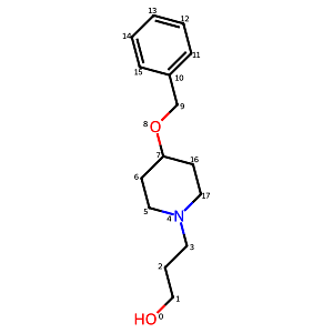 OCCCN1CCC(OCc2ccccc2)CC1